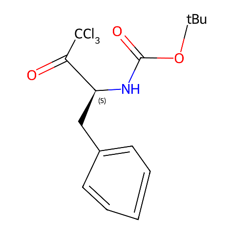 CC(C)(C)OC(=O)N[C@@H](Cc1ccccc1)C(=O)C(Cl)(Cl)Cl